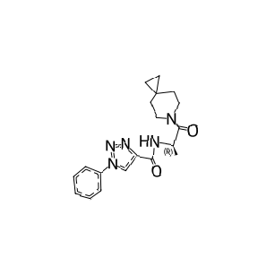 C[C@@H](NC(=O)c1cn(-c2ccccc2)nn1)C(=O)N1CCC2(CC1)CC2